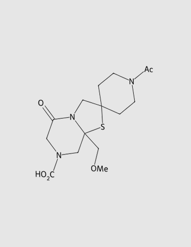 COCC12CN(C(=O)O)CC(=O)N1CC1(CCN(C(C)=O)CC1)S2